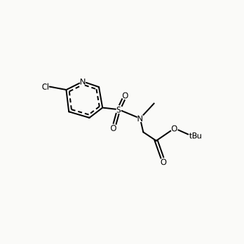 CN(CC(=O)OC(C)(C)C)S(=O)(=O)c1ccc(Cl)nc1